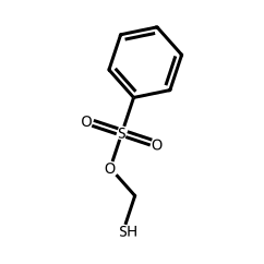 O=S(=O)(OCS)c1ccccc1